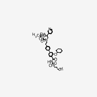 CC(C)(C)OC(=O)N(CCc1ccc(-c2ccc(C(=O)NS(=O)(=O)CCCO)c(OC3CCCCC3)c2)cc1)C[C@H](O)c1cccnc1